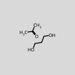 CC(C)=O.OCCCO